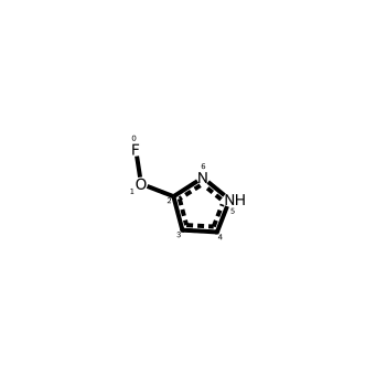 FOc1cc[nH]n1